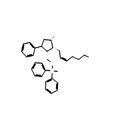 CC(C)(C)[Si](OC[C@@H]1C(c2ccccc2)C[C@@H](F)[C@H]1C/C=C\CCCC(=O)O)(c1ccccc1)c1ccccc1